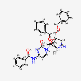 O=C(Nc1ccn([C@@H]2O[C@@]3(COCc4ccccc4)CN[C@@H]2[C@@H]3OCc2ccccc2)c(=O)n1)c1ccccc1